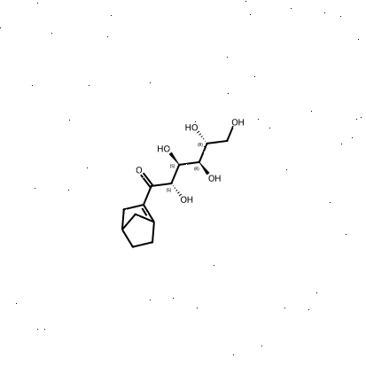 O=C(C1=C2CCC(C2)C1)[C@@H](O)[C@@H](O)[C@H](O)[C@H](O)CO